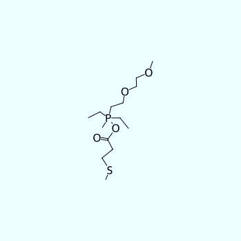 CCP(C)(CC)(CCOCCOC)OC(=O)CCSC